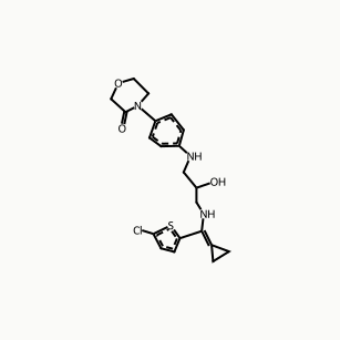 O=C1COCCN1c1ccc(NCC(O)CNC(=C2CC2)c2ccc(Cl)s2)cc1